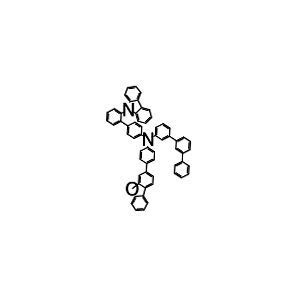 c1ccc(-c2cccc(-c3cccc(N(c4ccc(-c5ccc6c(c5)oc5ccccc56)cc4)c4ccc(-c5ccccc5-n5c6ccccc6c6ccccc65)cc4)c3)c2)cc1